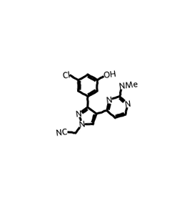 CNc1nccc(-c2cn(CC#N)nc2-c2cc(O)cc(Cl)c2)n1